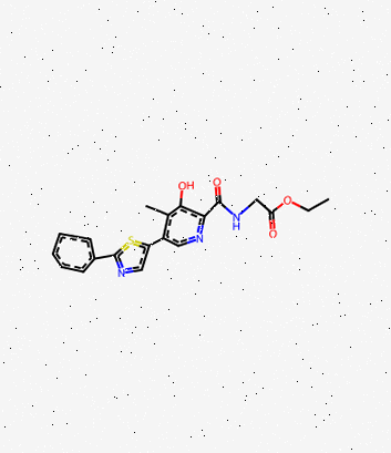 CCOC(=O)CNC(=O)c1ncc(-c2cnc(-c3ccccc3)s2)c(C)c1O